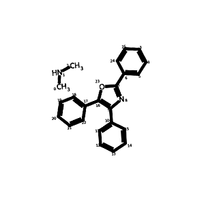 CNC.c1ccc(-c2nc(-c3ccccc3)c(-c3ccccc3)o2)cc1